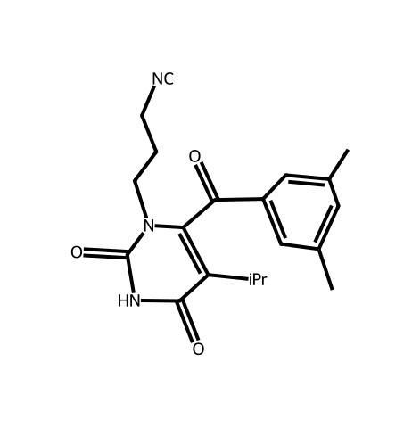 [C-]#[N+]CCCn1c(C(=O)c2cc(C)cc(C)c2)c(C(C)C)c(=O)[nH]c1=O